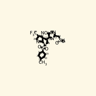 Cc1ccc(S(=O)(=O)n2cc(-c3nc(C[SH](=O)=O)ncc3C#N)c3cc(C(F)(F)F)cnc32)cc1